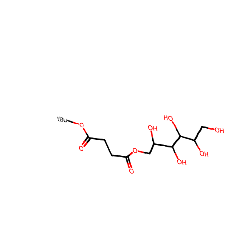 CC(C)(C)OC(=O)CCC(=O)OCC(O)C(O)C(O)C(O)CO